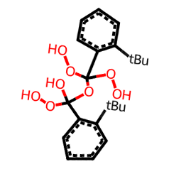 CC(C)(C)c1ccccc1C(O)(OO)OC(OO)(OO)c1ccccc1C(C)(C)C